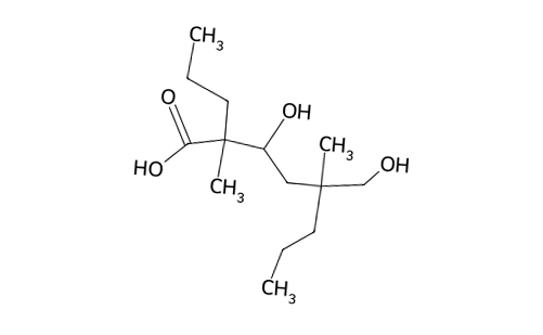 CCCC(C)(CO)CC(O)C(C)(CCC)C(=O)O